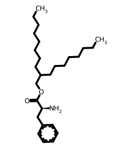 CCCCCCCCC(CCCCCCCC)COC(=O)[C@@H](N)Cc1ccccc1